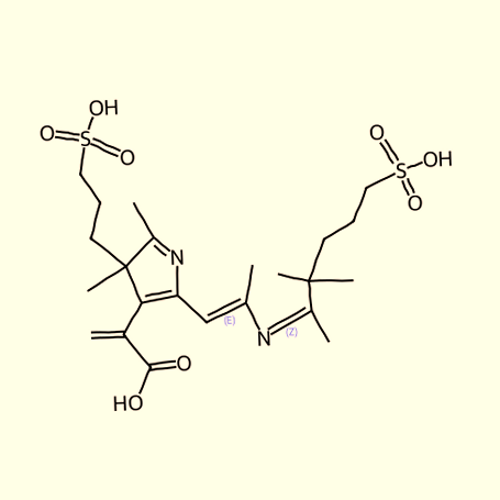 C=C(C(=O)O)C1=C(/C=C(C)/N=C(/C)C(C)(C)CCCS(=O)(=O)O)N=C(C)C1(C)CCCS(=O)(=O)O